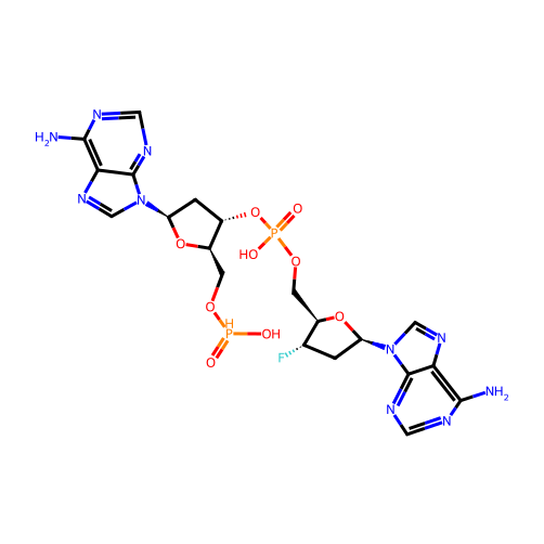 Nc1ncnc2c1ncn2[C@H]1C[C@H](OP(=O)(O)OC[C@H]2O[C@@H](n3cnc4c(N)ncnc43)C[C@@H]2F)[C@@H](CO[PH](=O)O)O1